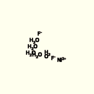 O.O.O.O.O.[F-].[F-].[Ni+2]